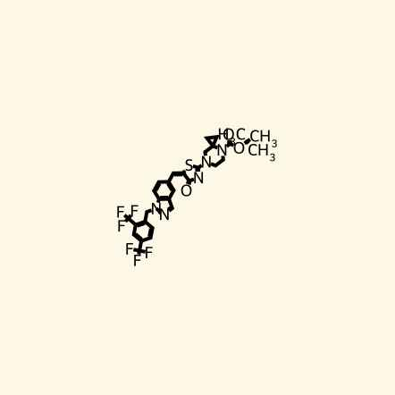 CC(C)(C)OC(=O)N1CCN(C2=NC(=O)C(=Cc3ccc4c(cnn4Cc4ccc(C(F)(F)F)cc4C(F)(F)F)c3)S2)CC12CC2